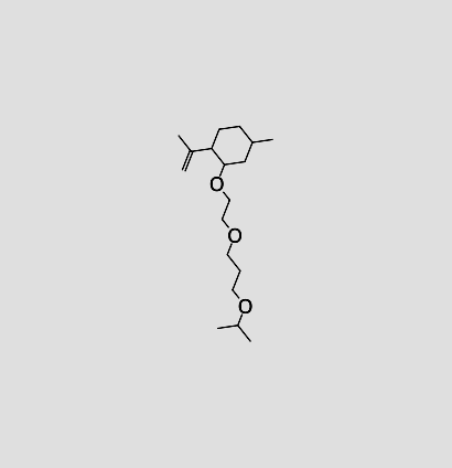 C=C(C)C1CCC(C)CC1OCCOCCCOC(C)C